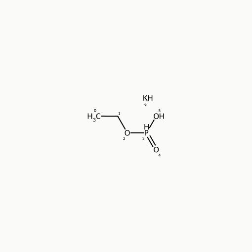 CCO[PH](=O)O.[KH]